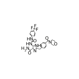 NC(=O)C1N=C(Cc2ccc(C(=O)N3CCOCC3)cc2)NC1NC(=O)Nc1ccc(C(F)(F)F)cc1